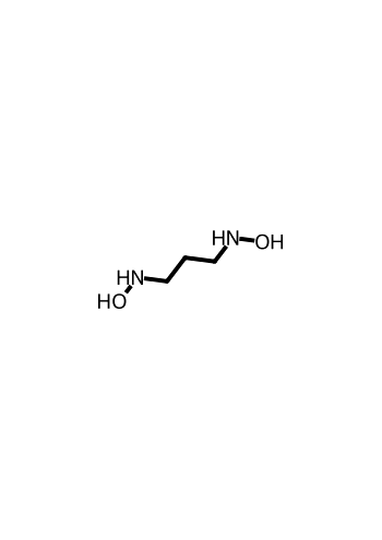 ONCCCNO